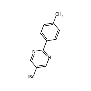 Cc1ccc(-c2ncc(C(C)(C)C)cn2)cc1